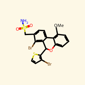 COc1cccc2c1-c1ccc(CS(N)(=O)=O)c(Br)c1C(c1sccc1Br)O2